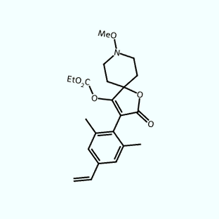 C=Cc1cc(C)c(C2=C(OC(=O)OCC)C3(CCN(OC)CC3)OC2=O)c(C)c1